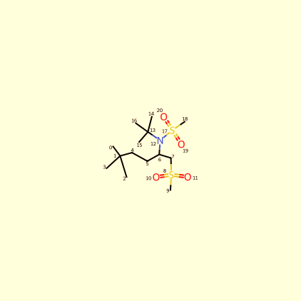 CC(C)(C)CCC(CS(C)(=O)=O)N(C(C)(C)C)S(C)(=O)=O